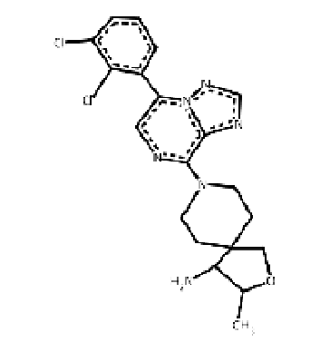 CC1OCC2(CCN(c3ncc(-c4cccc(Cl)c4Cl)n4ncnc34)CC2)C1N